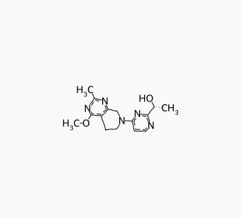 COc1nc(C)nc2c1CCN(c1ccnc([C@@H](C)O)n1)C2